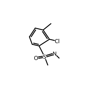 CN=S(C)(=O)c1cccc(C)c1Cl